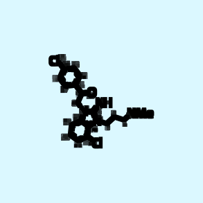 CNCCCn1c(=N)n(CC(=O)c2ccc(Cl)cc2)c2cccc(Cl)c21